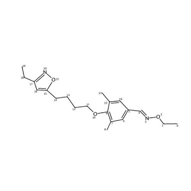 CCON=Cc1cc(C)c(OCCCCc2cc(CC)no2)c(C)c1